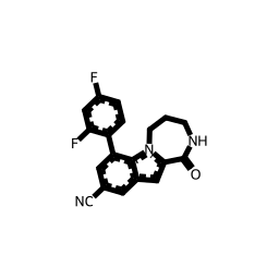 N#Cc1cc(-c2ccc(F)cc2F)c2c(c1)cc1n2CCCNC1=O